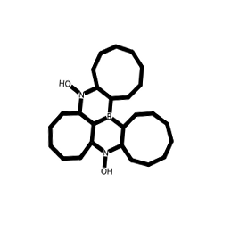 ON1C2CCCCCCCC2B2C3CCCCCCCC3N(O)C3CCCCCC1C23